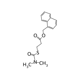 CN(C)C(=O)SCCC(=O)OCc1cccc2ccccc12